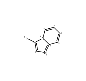 Ic1cnc2ccccn12